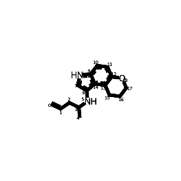 C=CCC(C)Nc1c[nH]c2ccc3c(c12)CCCO3